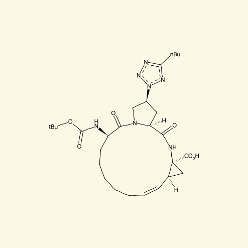 CCCCc1nnn([C@H]2C[C@H]3C(=O)N[C@@]4(C(=O)O)C[C@H]4/C=C\CCCCC[C@@H](NC(=O)OC(C)(C)C)C(=O)N3C2)n1